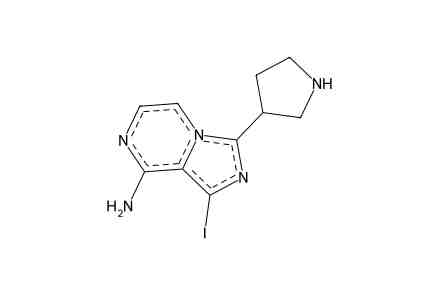 Nc1nccn2c(C3CCNC3)nc(I)c12